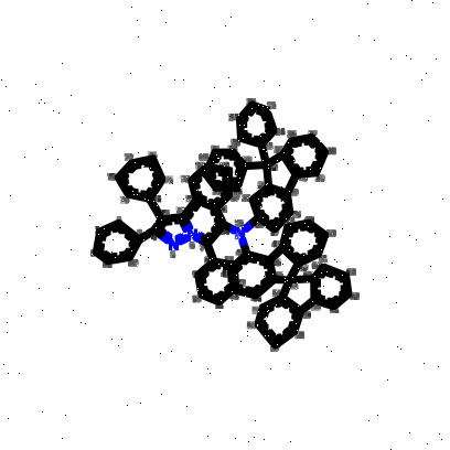 c1ccc(-c2nn3c(-c4ccccc4)c(N(c4ccc5c(c4)C(c4ccccc4)(c4ccccc4)c4ccccc4-5)c4cccc5c4-c4ccccc4C54c5ccccc5-c5ccccc54)c4ccccc4c3c2-c2ccccc2)cc1